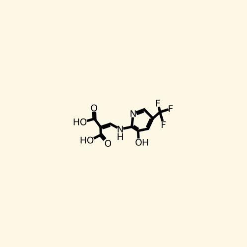 O=C(O)C(=CNc1ncc(C(F)(F)F)cc1O)C(=O)O